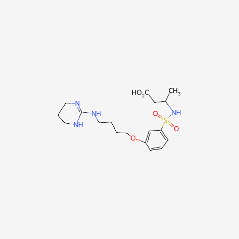 CC(CC(=O)O)NS(=O)(=O)c1cccc(OCCCCNC2=NCCCN2)c1